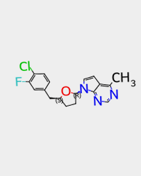 Cc1ncnc2c1ccn2[C@H]1CC[C@@H](Cc2ccc(Cl)c(F)c2)O1